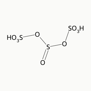 O=S(OS(=O)(=O)O)OS(=O)(=O)O